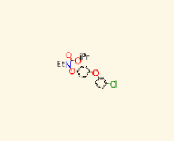 CCN(Oc1ccc(Oc2cccc(Cl)c2)cc1)C(=O)OC(C)C